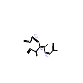 C=C\C=C/C(C(=C)C=C)=C(C)/C=C\C(=C)C